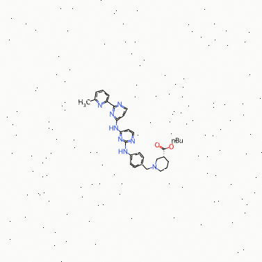 CCCCOC(=O)[C@@H]1CCCN(Cc2ccc(Nc3nccc(Nc4ccnc(-c5cccc(C)n5)n4)n3)cc2)C1